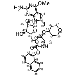 COc1nc(N)nc2c1nc(I)n2[C@@H]1O[C@H](COP(=O)(N[C@@H](C)C(=O)OC2CCOCC2)Oc2cccc3ccccc23)[C@@H](O)[C@@]1(C)O